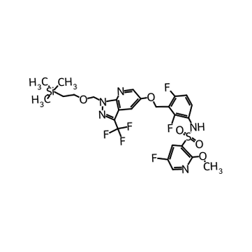 COc1ncc(F)cc1S(=O)(=O)Nc1ccc(F)c(COc2cnc3c(c2)c(C(F)(F)F)nn3COCC[Si](C)(C)C)c1F